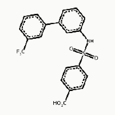 O=C(O)c1ccc(S(=O)(=O)Nc2cccc(-c3cccc(C(F)(F)F)c3)c2)cc1